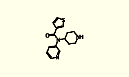 O=C(c1ccsc1)N(c1cccnc1)C1CCNCC1